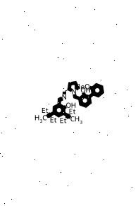 CCC(C)(CC)c1cc(/C=N/C[C@@H]2CCCN2Cc2cccc(-c3ccccc3OC)c2O)c(O)c(C(C)(CC)CC)c1